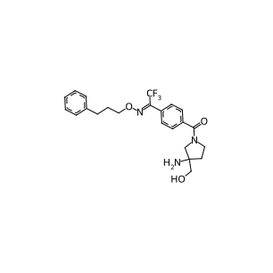 NC1(CO)CCN(C(=O)c2ccc(C(=NOCCCc3ccccc3)C(F)(F)F)cc2)C1